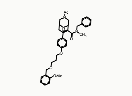 COc1ccccc1COCCCOc1ccc(C2=C(C(=O)N(C)Cc3ccccc3)C3CN(C(C)=O)CC(C2)N3)cc1